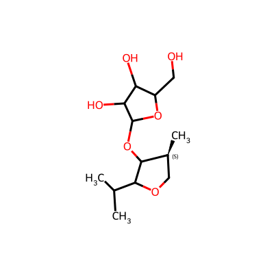 CC(C)C1OC[C@H](C)C1OC1OC(CO)C(O)C1O